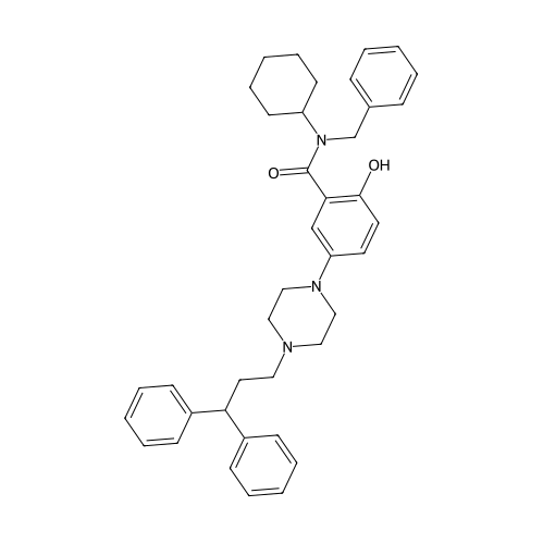 O=C(c1cc(N2CCN(CCC(c3ccccc3)c3ccccc3)CC2)ccc1O)N(Cc1ccccc1)C1CCCCC1